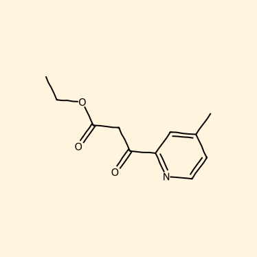 CCOC(=O)CC(=O)c1cc(C)ccn1